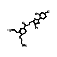 C=CCc1cc(C(=O)CCc2nc(-c3ccc(Cl)cc3Cl)oc2C(C)C)ccc1OCCOC(C)=O